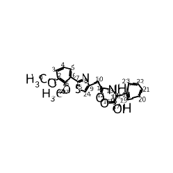 COc1cccc(-c2nc(CC(=O)N[C@@H](C(=O)O)c3ccccc3)cs2)c1OC